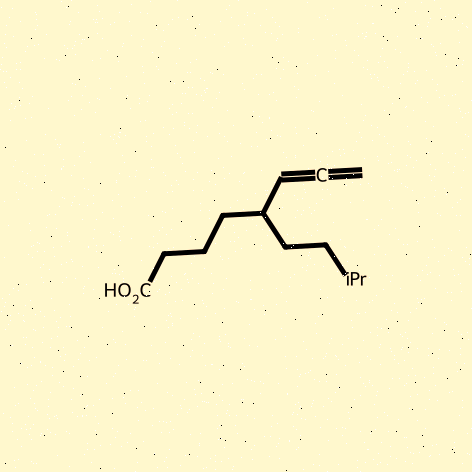 C=C=CC(CCCC(=O)O)CCC(C)C